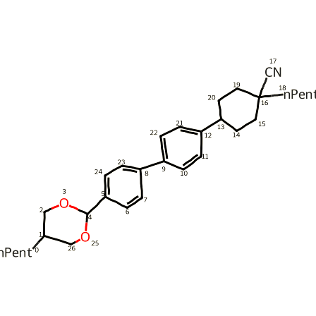 CCCCCC1COC(c2ccc(-c3ccc(C4CCC(C#N)(CCCCC)CC4)cc3)cc2)OC1